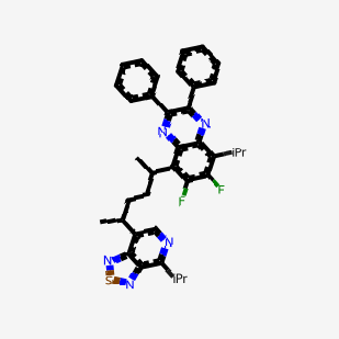 CC(C)c1ncc(C(C)CCC(C)c2c(F)c(F)c(C(C)C)c3nc(-c4ccccc4)c(-c4ccccc4)nc23)c2nsnc12